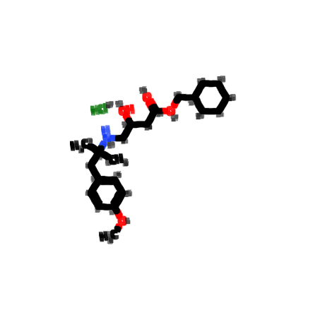 COc1ccc(CC(C)(C)NCC(O)CC(=O)OCC2CCCCC2)cc1.Cl